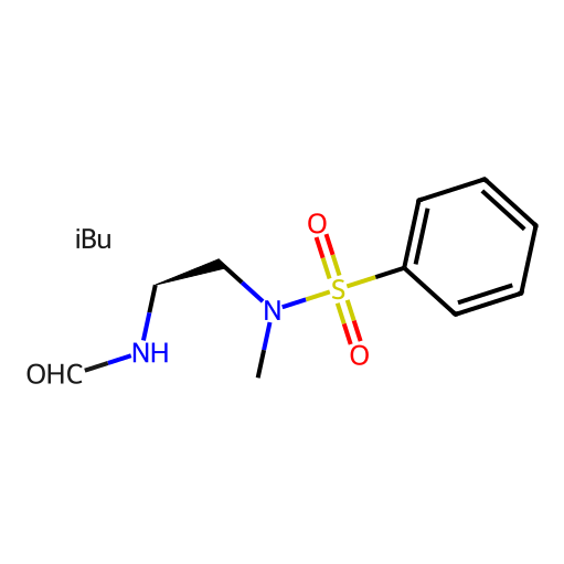 CC[C@H](C)[C@@H](CN(C)S(=O)(=O)c1ccccc1)NC=O